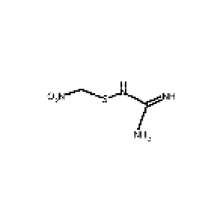 N=C(N)NSC[N+](=O)[O-]